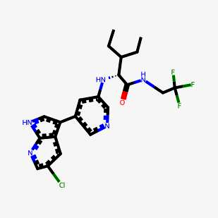 CCC(CC)[C@@H](Nc1cncc(-c2c[nH]c3ncc(Cl)cc23)c1)C(=O)NCC(F)(F)F